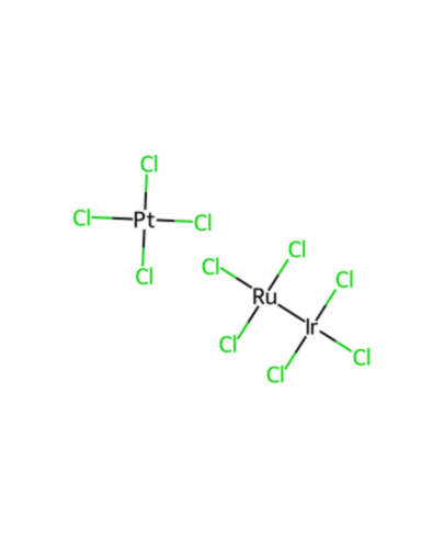 [Cl][Pt]([Cl])([Cl])[Cl].[Cl][Ru]([Cl])([Cl])[Ir]([Cl])([Cl])[Cl]